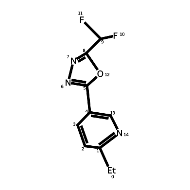 CCc1ccc(-c2nnc(C(F)F)o2)cn1